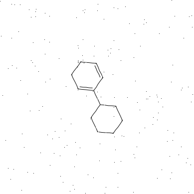 [C]1C=CC(C2CCCCC2)=CC1